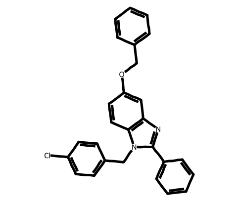 Clc1ccc(Cn2c(-c3ccccc3)nc3cc(OCc4ccccc4)ccc32)cc1